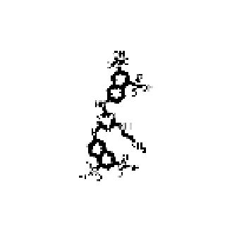 NCCNc1nc(Nc2ccc3c(S(=O)(=O)O)cc(S(=O)(=O)O)cc3c2)nc(Nc2ccc3c(S(=O)(=O)O)cc(S(=O)(=O)O)cc3c2)n1